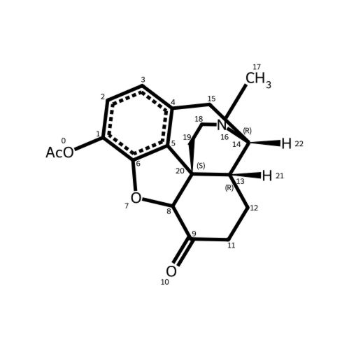 CC(=O)Oc1ccc2c3c1OC1C(=O)CC[C@H]4[C@@H](C2)N(C)CC[C@]314